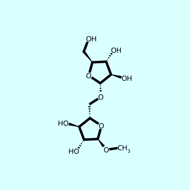 CO[C@@H]1O[C@@H](CO[C@@H]2O[C@@H](CO)[C@H](O)[C@H]2O)[C@H](O)[C@H]1O